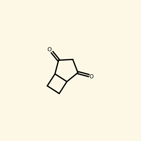 O=C1CC(=O)C2CCC12